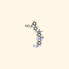 Cc1c(C)n(Cc2ccc(-c3ccccc3C(=O)O)cc2)c2ccc(C(=O)NCc3ccc(N)cc3)cc12